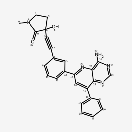 CN1CCC(O)(C#Cc2cccc(-c3cc(-c4ccccc4)c4ncnc(N)c4n3)c2)C1=O